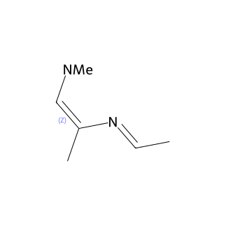 CC=N/C(C)=C\NC